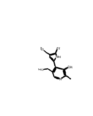 CCc1cc(-c2c(CO)cnc(C)c2O)[nH]c1CC